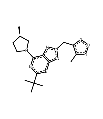 Cc1nonc1Cn1nc2nc(C(C)(C)C)nc(N3CC[C@@H](C)C3)c2n1